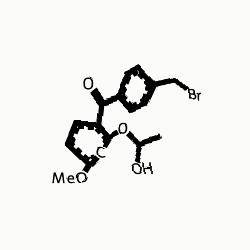 COc1ccc(C(=O)c2ccc(CBr)cc2)c(OC(C)O)c1